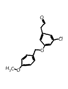 COc1ccc(COc2cc(Cl)cc(CC=O)c2)cc1